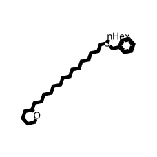 CCCCCC[S+](CCCCCCCCCCCCCCCC1CCCCO1)Cc1ccccc1